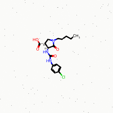 CCCCCN1C[C@@H](C(=O)O)[C@H](NC(=O)Nc2ccc(Cl)cc2)C1=O